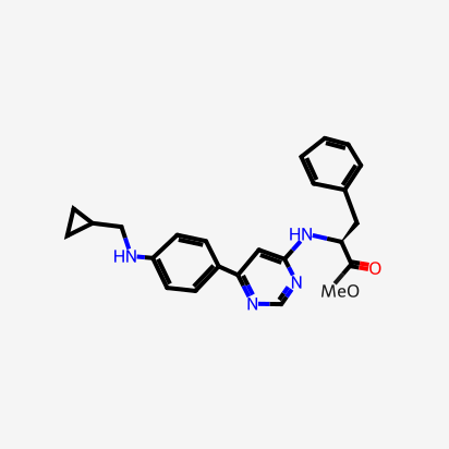 COC(=O)[C@H](Cc1ccccc1)Nc1cc(-c2ccc(NCC3CC3)cc2)ncn1